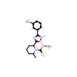 CC1CCCC(c2nc(-c3cccc(C#N)c3)no2)N1C(=O)OC(C)(C)C